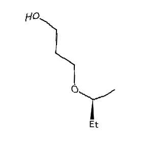 CC[C@H](C)OCCCO